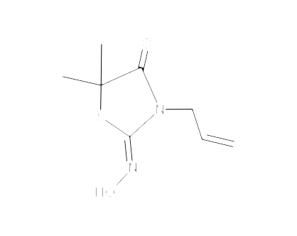 C=CCN1C(=O)C(C)(C)SC1=NO